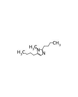 CCCCc1cnc(CCCC)n1C